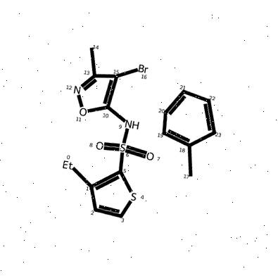 CCc1ccsc1S(=O)(=O)Nc1onc(C)c1Br.Cc1ccccc1